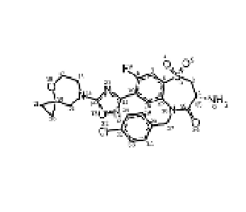 N[C@H]1CS(=O)(=O)c2cc(F)c(-c3noc(N4CCOC5(CC5)C4)n3)cc2N(Cc2ccc(Cl)cc2)C1=O